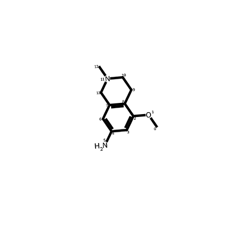 COc1cc(N)cc2c1CCN(C)C2